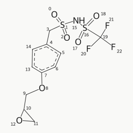 O=S(=O)(Cc1ccc(OCC2CO2)cc1)NS(=O)(=O)C(F)(F)F